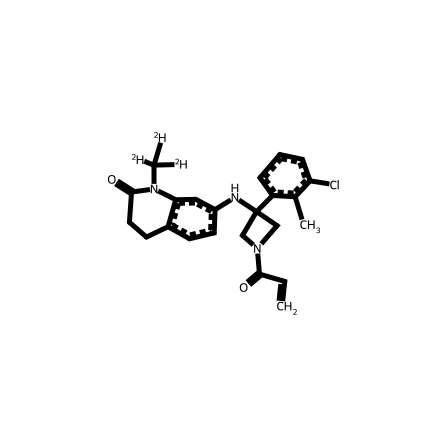 [2H]C([2H])([2H])N1C(=O)CCc2ccc(NC3(c4cccc(Cl)c4C)CN(C(=O)C=C)C3)cc21